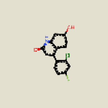 O=c1cc(-c2ccc(F)cc2Cl)c2ccc(O)cc2[nH]1